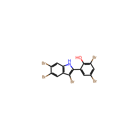 Oc1c(Br)cc(Br)cc1-c1[nH]c2cc(Br)c(Br)cc2c1Br